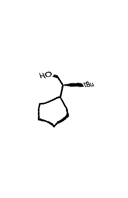 CC(C)(C)[C@H](O)C1CCCC1